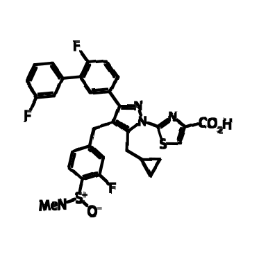 CN[S+]([O-])c1ccc(Cc2c(-c3ccc(F)c(-c4cccc(F)c4)c3)nn(-c3nc(C(=O)O)cs3)c2CC2CC2)cc1F